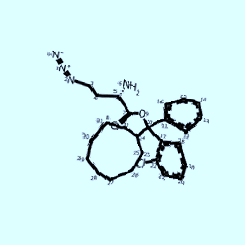 [N-]=[N+]=NCC[C@H](N)C(=O)OC(c1ccccc1)(c1ccccc1Cl)C1CCCCCCCC1